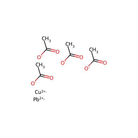 CC(=O)[O-].CC(=O)[O-].CC(=O)[O-].CC(=O)[O-].[Cu+2].[Pb+2]